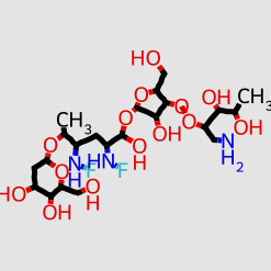 CC(O)C(O)C(CN)OOC1C(CO)OC(OC(O)C(CC(NF)C(C)OC2CC(O)C(O)C(CO)O2)NF)C1O